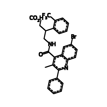 Cc1c(-c2ccccc2)nc2ccc(Br)cc2c1C(=O)NCC(CC(=O)O)c1ccccc1C(F)(F)F